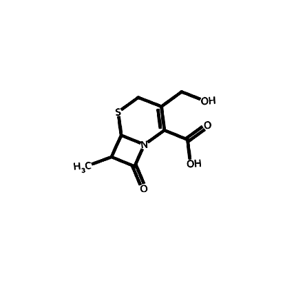 CC1C(=O)N2C(C(=O)O)=C(CO)CSC12